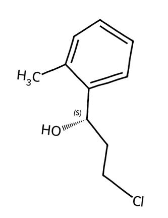 Cc1ccccc1[C@@H](O)CCCl